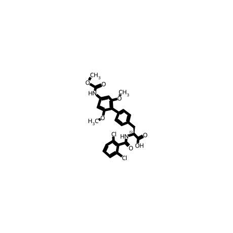 COC(=O)Nc1cc(OC)c(-c2ccc(C[C@H](NC(=O)c3c(Cl)cccc3Cl)C(=O)O)cc2)c(OC)c1